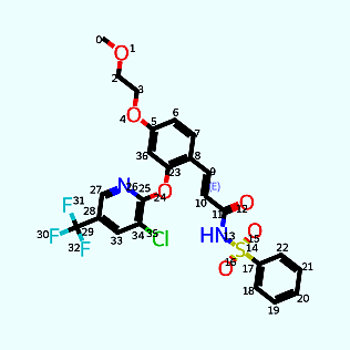 COCCOc1ccc(/C=C/C(=O)NS(=O)(=O)c2ccccc2)c(Oc2ncc(C(F)(F)F)cc2Cl)c1